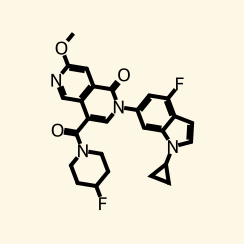 COc1cc2c(=O)n(-c3cc(F)c4ccn(C5CC5)c4c3)cc(C(=O)N3CCC(F)CC3)c2cn1